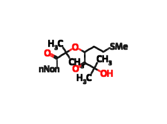 CCCCCCCCCC(=O)C(C)(C)OC(CCSC)C(=O)C(C)(C)O